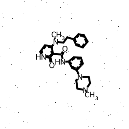 CN1CCN(c2cccc(NC(=O)c3c(N(C)CCc4ccccc4)cc[nH]c3=O)c2)CC1